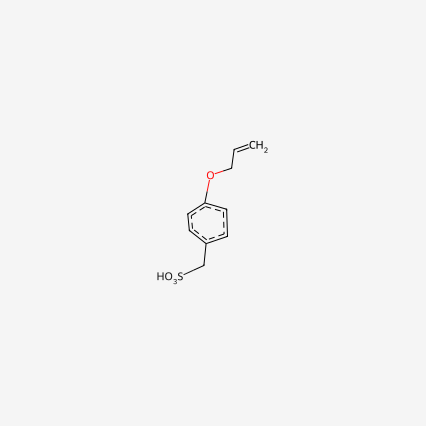 C=CCOc1ccc(CS(=O)(=O)O)cc1